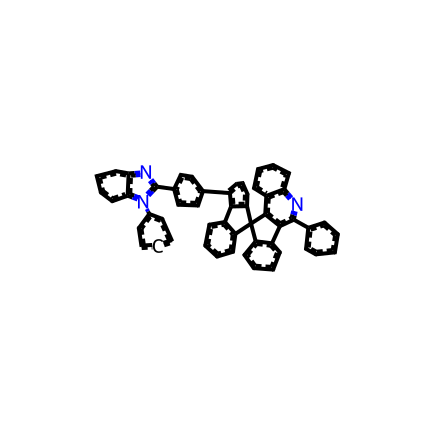 c1ccc(-c2nc3ccccc3c3c2-c2ccccc2C32c3ccccc3-c3c(-c4ccc(-c5nc6ccccc6n5-c5ccccc5)cc4)cccc32)cc1